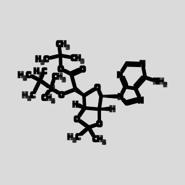 CC(C)(C)OC(=O)C(O[Si](C)(C)C(C)(C)C)[C@H]1O[C@@H](n2cnc3c(N)ncnc32)[C@@H]2OC(C)(C)O[C@@H]21